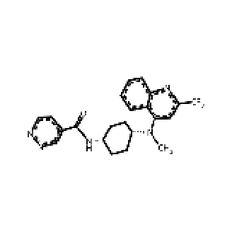 CN(c1cc(C(F)(F)F)nc2ccccc12)[C@H]1CC[C@@H](NC(=O)c2ccnnc2)CC1